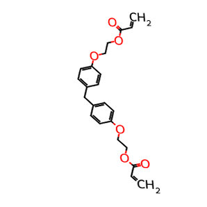 C=CC(=O)OCCOc1ccc(Cc2ccc(OCCOC(=O)C=C)cc2)cc1